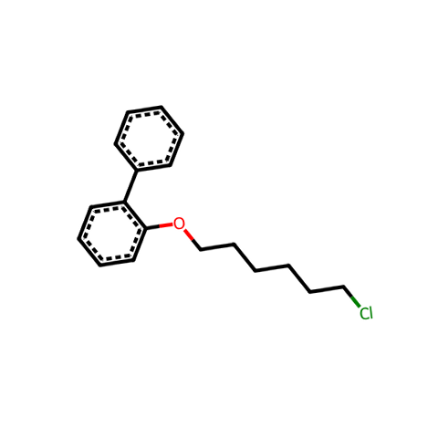 ClCCCCCCOc1ccccc1-c1ccccc1